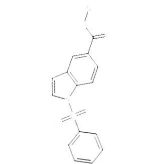 NOC(=O)c1ccc2c(ccn2S(=O)(=O)c2ccccc2)c1